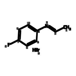 Br.CC=Nc1ccc(F)cc1